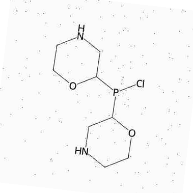 ClP(C1CNCCO1)C1CNCCO1